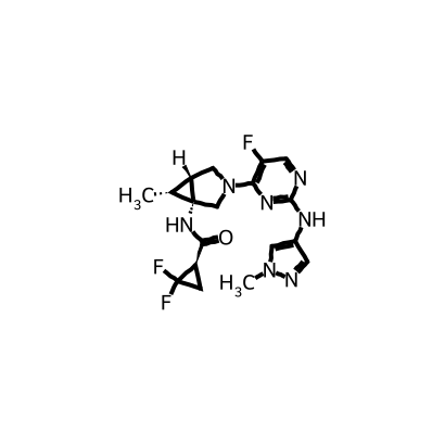 C[C@@H]1[C@@H]2CN(c3nc(Nc4cnn(C)c4)ncc3F)C[C@@]12NC(=O)[C@H]1CC1(F)F